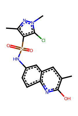 Cc1cc2cc(NS(=O)(=O)c3c(C)nn(C)c3Cl)ccc2nc1O